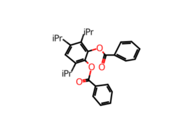 CC(C)c1cc(C(C)C)c(C(C)C)c(OC(=O)c2ccccc2)c1OC(=O)c1ccccc1